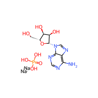 Nc1ncnc2c1ncn2[C@@H]1O[C@H](CO)[C@@H](O)[C@H]1O.O=P(O)(O)O.[Na].[Na]